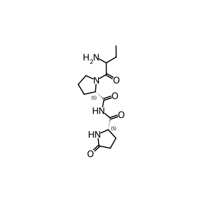 CCC(N)C(=O)N1CCC[C@H]1C(=O)NC(=O)[C@@H]1CCC(=O)N1